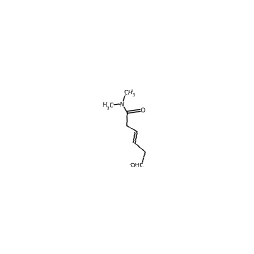 CN(C)C(=O)C/C=C/C[C]=O